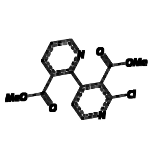 COC(=O)c1cccnc1-c1ccnc(Cl)c1C(=O)OC